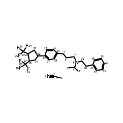 CC#N.CC(C)N(CCCc1ccc(C2CC(C(F)(F)F)C(C(F)(F)F)C2)cc1)CCc1ccccc1